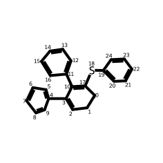 [CH]1CC=C(c2ccccc2)C(c2ccccc2)=C1Sc1ccccc1